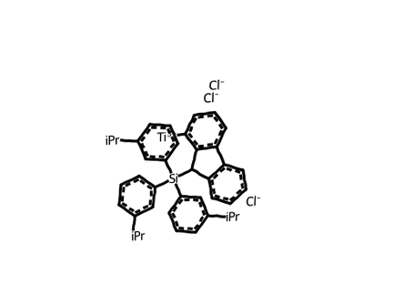 CC(C)c1cccc([Si](c2cccc(C(C)C)c2)(c2cccc(C(C)C)c2)C2c3ccccc3-c3ccc[c]([Ti+3])c32)c1.[Cl-].[Cl-].[Cl-]